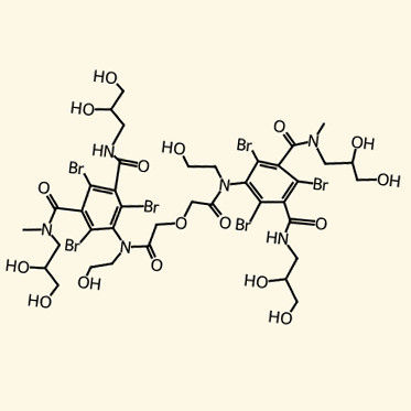 CN(CC(O)CO)C(=O)c1c(Br)c(C(=O)NCC(O)CO)c(Br)c(N(CCO)C(=O)COCC(=O)N(CCO)c2c(Br)c(C(=O)NCC(O)CO)c(Br)c(C(=O)N(C)CC(O)CO)c2Br)c1Br